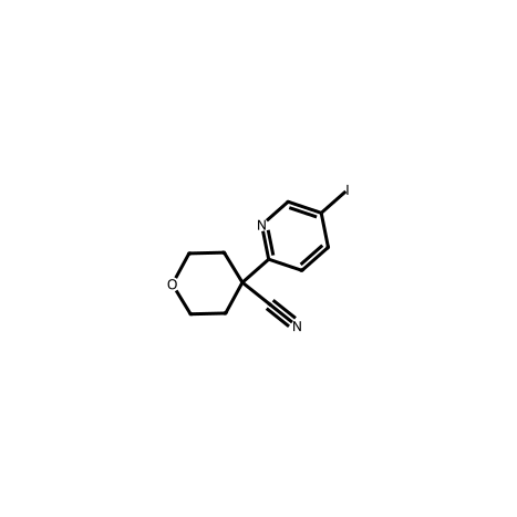 N#CC1(c2ccc(I)cn2)CCOCC1